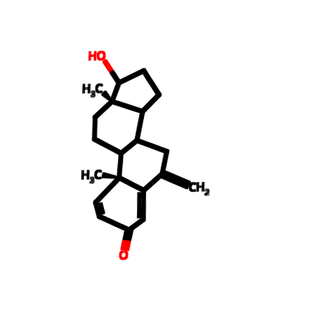 C=C1CC2C3CCC(O)[C@@]3(C)CCC2[C@@]2(C)C=CC(=O)C=C12